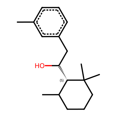 Cc1cccc(CC(O)[C@H]2C(C)CCCC2(C)C)c1